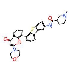 CN1CCCC(C(=O)N(C)c2ccc3sc4c(-c5cccc6c(=O)cc(N7CCOCC7)oc56)cccc4c3c2)C1